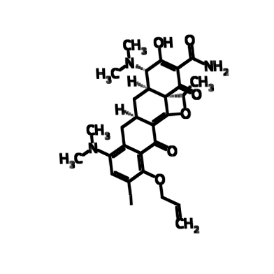 C=CCOc1c(I)cc(N(C)C)c2c1C(=O)C1=C3OC(C)[C@]34C(=O)C(C(N)=O)=C(O)[C@@H](N(C)C)[C@@H]4C[C@@H]1C2